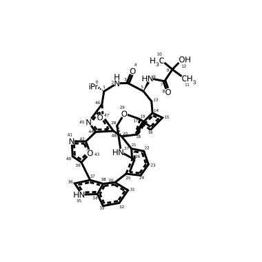 CC(C)[C@@H]1NC(=O)[C@@H](NC(=O)C(C)(C)O)Cc2ccc3c(c2)[C@]24c5cccc(c5NC2O3)-c2cccc3[nH]cc(c23)-c2cnc(o2)-c2nc1oc24